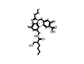 CCCCC(CS)C(=O)NCc1cc(C)c2nc(CCC)n(Cc3ccc(C(=O)O)c(Br)c3)c2c1